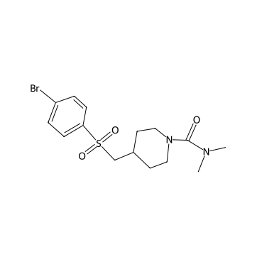 CN(C)C(=O)N1CCC(CS(=O)(=O)c2ccc(Br)cc2)CC1